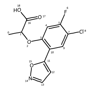 CC(Oc1cc(F)c(Cl)cc1-c1ccno1)C(=O)O